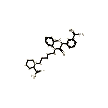 N=C(N)c1cccc(C2Oc3ccccc3N(CCCCCN3CCCCC3C(=O)O)C2=O)c1